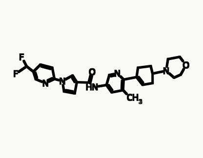 Cc1cc(NC(=O)c2ccn(-c3ccc(C(F)F)cn3)c2)cnc1C1=CCC(N2CCOCC2)CC1